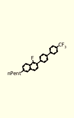 CCCCCc1ccc2c(F)c(-c3ccc(-c4ccc(C(F)(F)F)cc4)cc3)ccc2c1